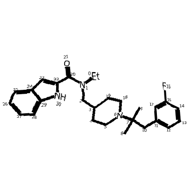 CCN(CC1CCN(C(C)(C)Cc2cccc(F)c2)CC1)C(=O)c1cc2ccccc2[nH]1